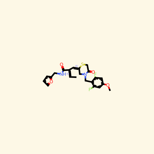 C/C=C(\C=C1/CN(Cc2c(F)cc(OC)cc2F)C(=O)CS1)C(=O)NCc1ccco1